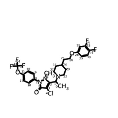 CC(c1c(Cl)c(=O)n(-c2ccc(OC(F)(F)F)cc2)n1C)N1CCC(CCOc2ccc(F)c(F)c2)CC1